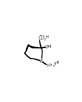 O=C(O)C1(O)CCCN1S(=O)(=O)O